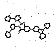 O=c1c2ccc(-c3ccc4c(c3)c3ccccc3n4-c3ccccc3)cc2nc(-c2cccc(-c3ccccc3)c2)n1-c1cccc(-c2ccccc2)c1